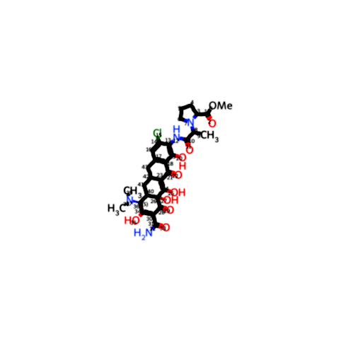 COC(=O)C1CCCN1C(C)C(=O)Nc1c(Cl)cc2c(c1O)C(=O)C1=C(O)[C@]3(O)C(=O)C(C(N)=O)=C(O)[C@@H](N(C)C)C3CC1C2